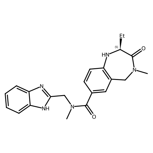 CC[C@@H]1Nc2ccc(C(=O)N(C)Cc3nc4ccccc4[nH]3)cc2CN(C)C1=O